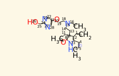 C=CC1=C(/C=C\C)NC(=O)C1(CC)CCN(CC)CCOc1cnc(CO)nc1